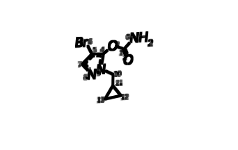 NC(=O)Oc1c(Br)cnn1CC1CC1